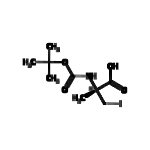 CC(C)(C)OC(=O)N[C@@](C)(CI)C(=O)O